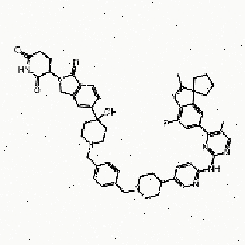 CC1=Nc2c(F)cc(-c3nc(Nc4ccc(C5CCN(Cc6ccc(CN7CCC(O)(c8ccc9c(c8)CN(C8CCC(=O)NC8=O)C9=O)CC7)cc6)CC5)cn4)ncc3F)cc2C12CCCC2